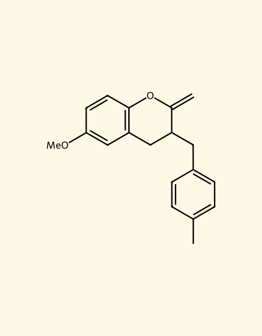 C=C1Oc2ccc(OC)cc2CC1Cc1ccc(C)cc1